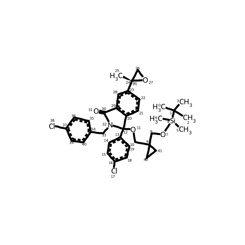 CC(C)(C)[Si](C)(C)OCC1(COC2(c3ccc(Cl)cc3)c3ccc([C@]4(C)CO4)cc3C(=O)N2Cc2ccc(Cl)cc2)CC1